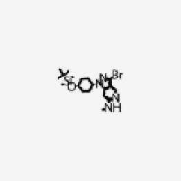 CNc1cc2c(cn1)c(Br)nn2[C@H]1CC[C@H](O[Si](C)(C)C(C)(C)C)CC1